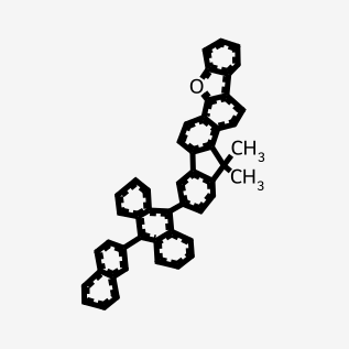 CC1(C)c2ccc(-c3c4ccccc4c(-c4ccc5ccccc5c4)c4ccccc34)cc2-c2ccc3c(ccc4c5ccccc5oc34)c21